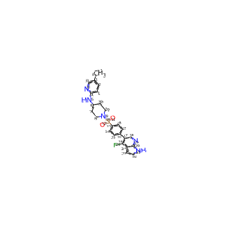 Cc1ccc(NC2CCN(S(=O)(=O)c3ccc(-c4cnc5[nH]ccc5c4F)cc3)CC2)nc1